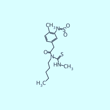 CCCCCN(C(=O)Cc1ccc(C)c(N=S(=O)=O)c1)C(=S)NC